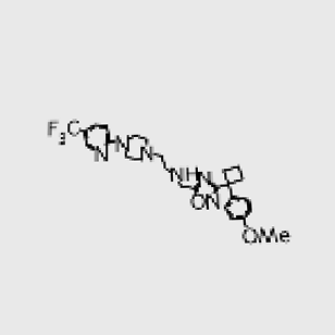 COc1ccc(C2(c3noc(CNCCN4CCN(c5ccc(C(F)(F)F)cn5)CC4)n3)CCC2)cc1